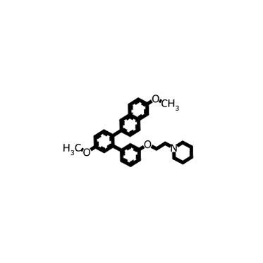 COc1ccc(-c2ccc3cc(OC)ccc3c2)c(-c2cccc(OCCN3CCCCC3)c2)c1